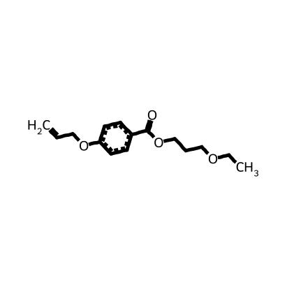 C=CCOc1ccc(C(=O)OCCCOCC)cc1